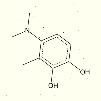 Cc1c(N(C)C)ccc(O)c1O